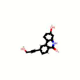 O=c1[nH]c2cc(O)ccc2c2cc(C#CCO)ccc12